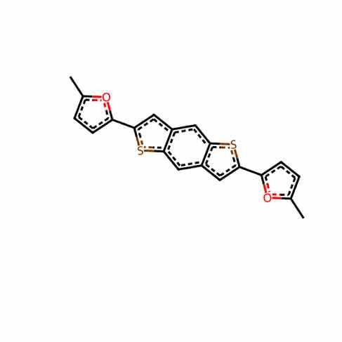 Cc1ccc(-c2cc3cc4sc(-c5ccc(C)o5)cc4cc3s2)o1